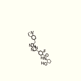 C=Nc1ccc(Cc2cnc3ncc(-c4ccc(C(=O)N[C@H]5CCC[C@@H]5O)c(F)c4)nn23)cc1/C=C\C